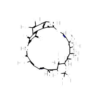 CO[C@H]1/C=C/C[C@@]2(C)Oc3c(C)c(O)c4c(c3C2=O)C(=O)C=C(NC(=O)/C(C)=C\C=C\[C@H](C)[C@@H]2OC(C)(C)O[C@@H]([C@@H](C)[C@H](O)[C@@H]1C)[C@@H]2C)C4=O